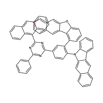 c1ccc(-c2nc(-c3ccc(-n4c5ccccc5c5cc6ccccc6cc54)c(-c4cccc5oc6cc7ccccc7cc6c45)c3)nc(-c3c4ccccc4cc4ccccc34)n2)cc1